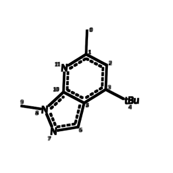 Cc1cc(C(C)(C)C)c2cnn(C)c2n1